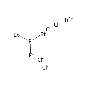 CCP(CC)CC.[Cl-].[Cl-].[Cl-].[Cl-].[Ti+4]